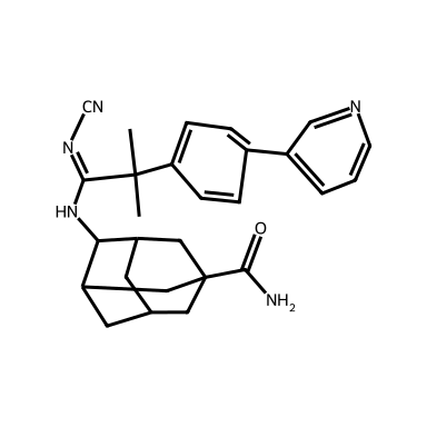 CC(C)(/C(=N\C#N)NC1C2CC3CC1CC(C(N)=O)(C3)C2)c1ccc(-c2cccnc2)cc1